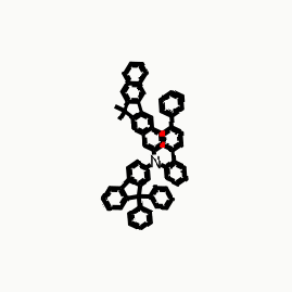 CC1(C)c2cc3ccccc3cc2-c2cc3ccc(N(c4ccc5c(c4)C(c4ccccc4)(c4ccccc4)c4ccccc4-5)c4ccccc4-c4ccc(-c5ccccc5)cc4)cc3cc21